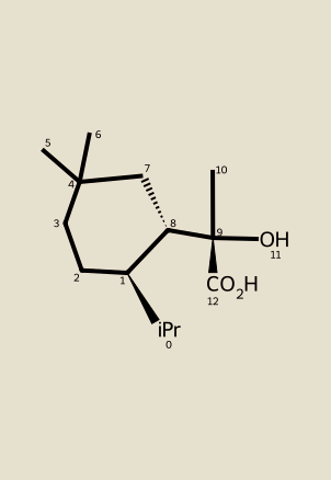 CC(C)[C@H]1CCC(C)(C)C[C@@H]1[C@](C)(O)C(=O)O